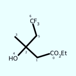 CCOC(=O)CC(C)(O)CC(F)(F)F